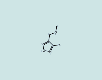 COCc1conc1C